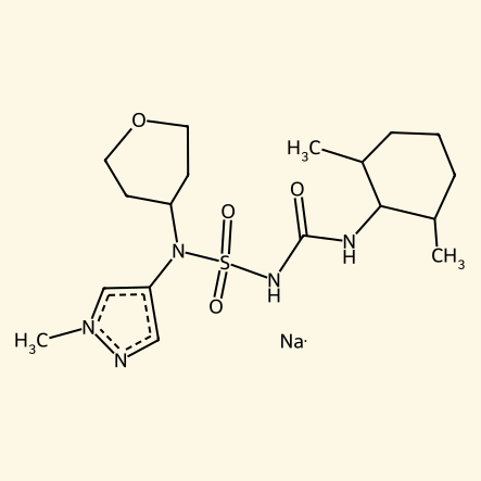 CC1CCCC(C)C1NC(=O)NS(=O)(=O)N(c1cnn(C)c1)C1CCOCC1.[Na]